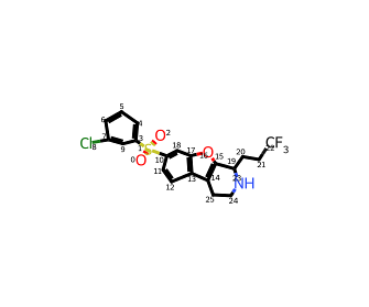 O=S(=O)(c1cccc(Cl)c1)c1ccc2c3c(oc2c1)C(CCC(F)(F)F)NCC3